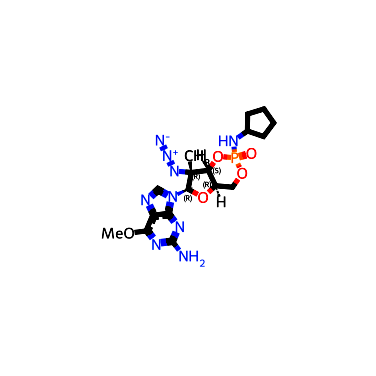 COc1nc(N)nc2c1ncn2[C@@H]1O[C@@H]2COP(=O)(NC3CCCC3)O[C@H]2[C@@]1(C)N=[N+]=[N-]